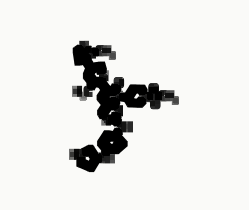 Cc1cc(-c2ccnn2C)cnc1-c1cc2cnc(Nc3ccc(NC4CCNC4)cc3)nc2n(C2CCN(S(C)(=O)=O)CC2)c1=O